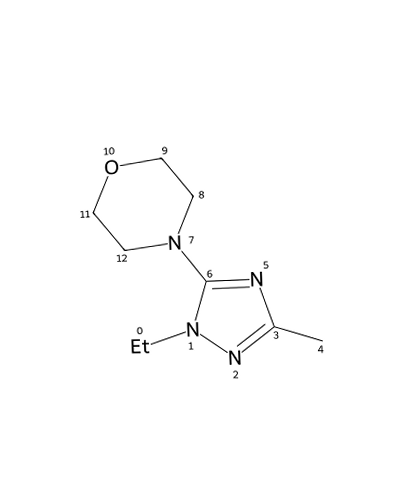 CCn1nc(C)nc1N1CCOCC1